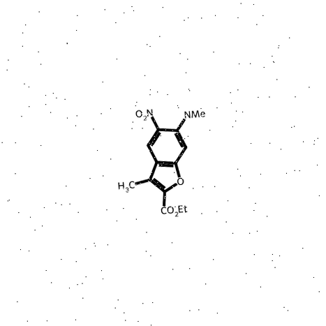 CCOC(=O)c1oc2cc(NC)c([N+](=O)[O-])cc2c1C